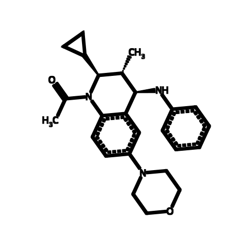 CC(=O)N1c2ccc(N3CCOCC3)cc2[C@H](Nc2ccccc2)[C@@H](C)[C@@H]1C1CC1